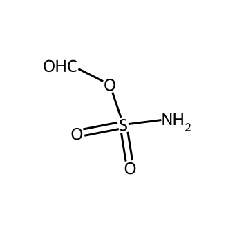 NS(=O)(=O)OC=O